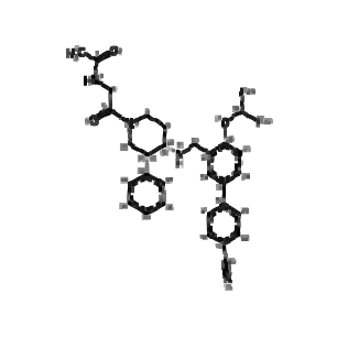 CC(=O)NCC(=O)N1CC[C@H](NCc2cc(-c3ccc(C#N)cc3)ccc2OC(F)F)[C@H](c2ccccc2)C1